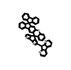 c1ccc2c(c1)Sc1cc3c(cc1C21c2cccnc2-c2ncc(C4c5ncccc5-c5cccnc54)cc21)-c1ccccc1C31c2ccccc2-c2ccccc21